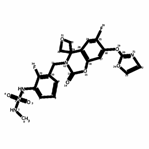 CNS(=O)(=O)Nc1cccc(CN2C(=O)Oc3cc(Oc4ncco4)c(F)cc3C23COC3)c1F